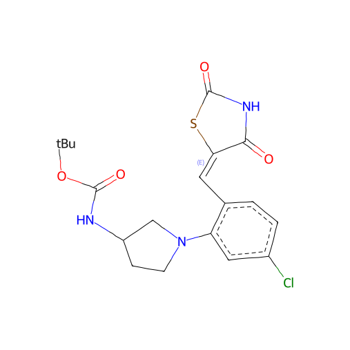 CC(C)(C)OC(=O)NC1CCN(c2cc(Cl)ccc2/C=C2/SC(=O)NC2=O)C1